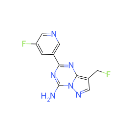 Nc1nc(-c2cncc(F)c2)nc2c(CF)cnn12